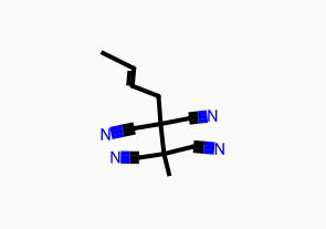 CC=CCC(C#N)(C#N)C(C)(C#N)C#N